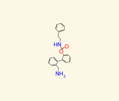 NCc1ccccc1-c1ccccc1OC(=O)NCCc1ccccc1